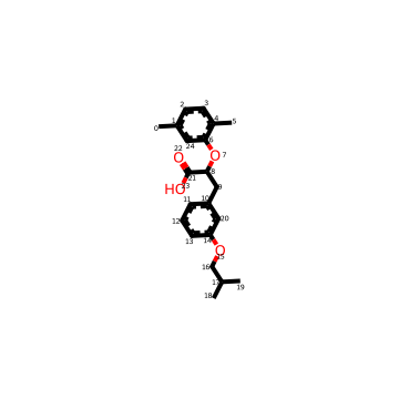 Cc1ccc(C)c(OC(Cc2cccc(OCC(C)C)c2)C(=O)O)c1